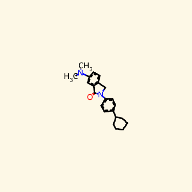 CN(C)c1ccc2c(c1)C(=O)N(c1ccc(C3CCCCC3)cc1)C2